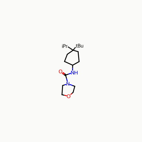 CC(C)C1(C(C)(C)C)CCC(NC(=O)N2CCOCC2)CC1